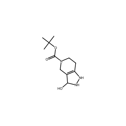 CC(C)(C)OC(=O)N1CCC2=C(C1)C(O)NN2